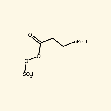 CCCCCCCC(=O)OOS(=O)(=O)O